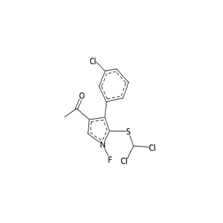 CC(=O)c1cn(F)c(SC(Cl)Cl)c1-c1cccc(Cl)c1